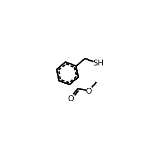 COC=O.SCc1ccccc1